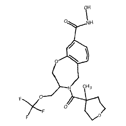 CC1(C(=O)N2Cc3ccc(C(=O)NO)cc3OCC2COC(F)(F)F)CCOCC1